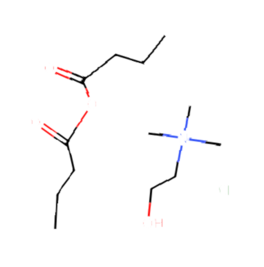 CCCC(=O)OC(=O)CCC.C[N+](C)(C)CCO.[Cl-]